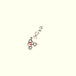 O=C(NCC(=O)N1CCN(CC(=O)N2CCCC2)CC1)c1ccc(S(=O)(=O)Nc2ccccc2Oc2ccc(Cl)cc2Cl)cc1